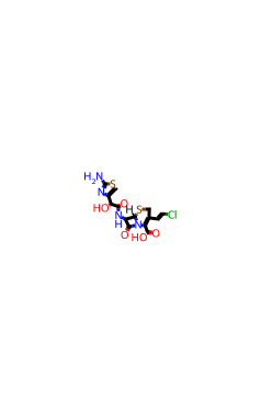 Nc1nc(C(O)C(=O)NC2C(=O)N3C(C(=O)O)=C(/C=C/Cl)CS[C@@H]23)cs1